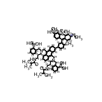 C=C(C)C(=O)NCCCN(Cc1ccccc1B(O)O)Cc1c2ccccc2c(CN(CCCNC(=O)C(=C)C)Cc2ccccc2B(O)O)c2cc(-c3ccc(C)c(C4=C5C=C/C(=N\C)C=C5S(C)(C)c5cc(NC)ccc54)c3)ccc12